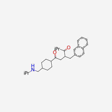 CC(C)NCC1CCC(C(=O)CC(Cc2ccc3ccccc3c2)C(=O)C(C)C)CC1